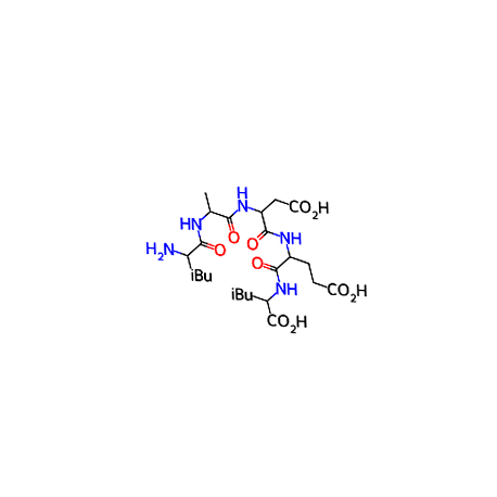 CCC(C)C(N)C(=O)NC(C)C(=O)NC(CC(=O)O)C(=O)NC(CCC(=O)O)C(=O)NC(C(=O)O)C(C)CC